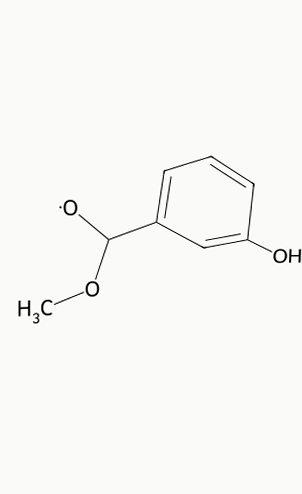 COC([O])c1cccc(O)c1